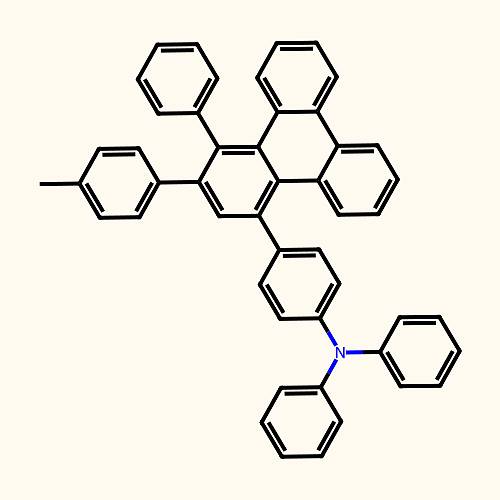 Cc1ccc(-c2cc(-c3ccc(N(c4ccccc4)c4ccccc4)cc3)c3c4ccccc4c4ccccc4c3c2-c2ccccc2)cc1